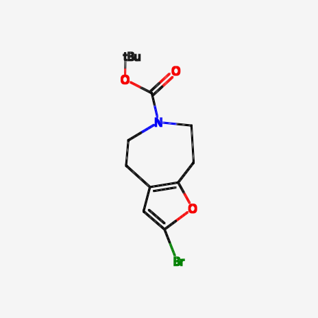 CC(C)(C)OC(=O)N1CCc2cc(Br)oc2CC1